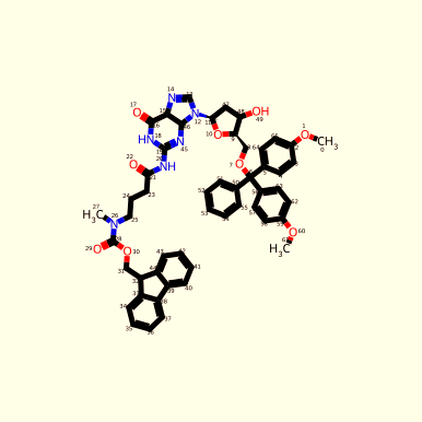 COc1ccc(C(OC[C@H]2O[C@@H](N3C=NC4C(=O)NC(NC(=O)CCCN(C)C(=O)OCC5c6ccccc6-c6ccccc65)=NC43)CC2O)(c2ccccc2)c2ccc(OC)cc2)cc1